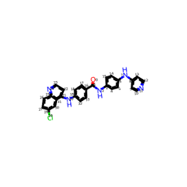 O=C(Nc1ccc(Nc2ccncc2)cc1)c1ccc(Nc2ccnc3ccc(Cl)cc23)cc1